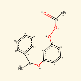 CCCC(=O)OOc1cccc(OC(C#N)c2ccccc2)c1